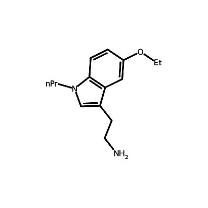 CCCn1cc(CCN)c2cc(OCC)ccc21